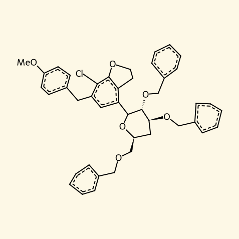 COc1ccc(Cc2cc(C3O[C@H](COCc4ccccc4)C[C@H](OCc4ccccc4)[C@H]3OCc3ccccc3)c3c(c2Cl)OCC3)cc1